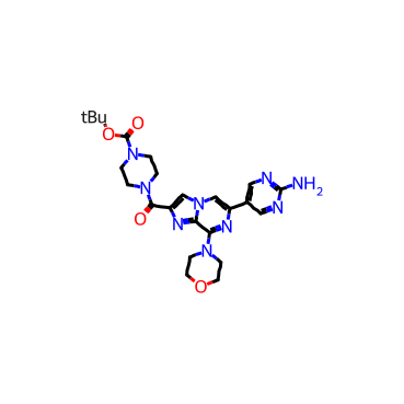 CC(C)(C)OC(=O)N1CCN(C(=O)c2cn3cc(-c4cnc(N)nc4)nc(N4CCOCC4)c3n2)CC1